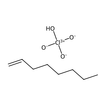 C=CCCCCCC.[O-][Cl+3]([O-])([O-])O